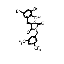 O=C1SC(=Cc2cc(Br)cc(Br)c2O)C(=O)N1Cc1cc(C(F)(F)F)cc(C(F)(F)F)c1